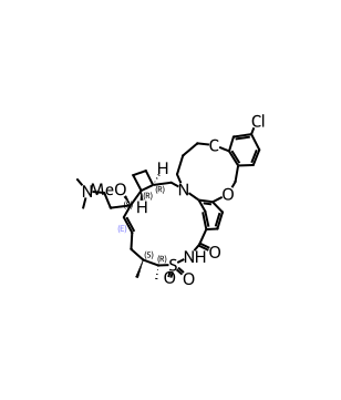 CO[C@]1(CCN(C)C)/C=C/C[C@H](C)[C@@H](C)S(=O)(=O)NC(=O)c2ccc3c(c2)N(CCCCc2cc(Cl)ccc2CO3)C[C@@H]2CC[C@H]21